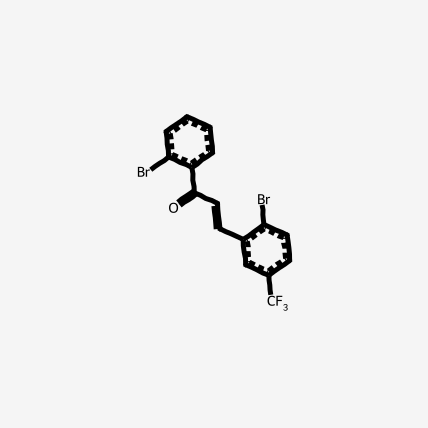 O=C(/C=C/c1cc(C(F)(F)F)ccc1Br)c1ccccc1Br